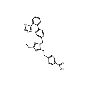 CCc1nc(CCc2ccc(C(=O)O)cc2)n(Cc2ccc(-c3ccccc3-c3nnn[nH]3)cc2)n1